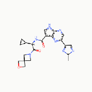 CC1N=CC(c2cnc3[nH]cc(C(=O)N[C@@H](C(=O)N4CC5(COC5)C4)C4CC4)c3n2)=N1